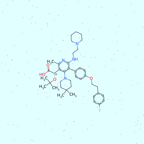 Cc1nc(NCCN2CCCCC2)c(-c2ccc(OCCc3ccc(F)cc3)cc2)c(N2CCC(C)(C)CC2)c1[C@H](OC(C)(C)C)C(=O)O